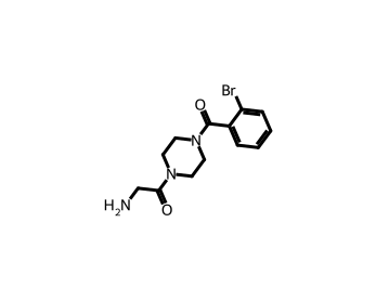 NCC(=O)N1CCN(C(=O)c2ccccc2Br)CC1